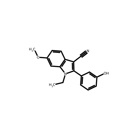 CCn1c(-c2cccc(O)c2)c(C#N)c2ccc(OC)cc21